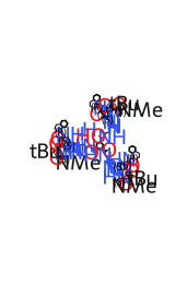 CN[C@@H](C)C(=O)N[C@H](C(=O)N1C[C@@H](n2cc(CCNC(=O)c3cc(C(=O)NCCc4cn([C@H]5C[C@@H](C(=O)N[C@@H]6CCCc7ccccc76)N(C(=O)[C@@H](NC(=O)[C@H](C)NC)C(C)(C)C)C5)nn4)cc(C(O)NCCc4cn([C@H]5C[C@@H](C(=O)N[C@@H]6CCCc7ccccc76)N(C(=O)[C@@H](NC(=O)[C@H](C)NC)C(C)(C)C)C5)nn4)c3)nn2)C[C@H]1C(=O)N[C@@H]1CCCc2ccccc21)C(C)(C)C